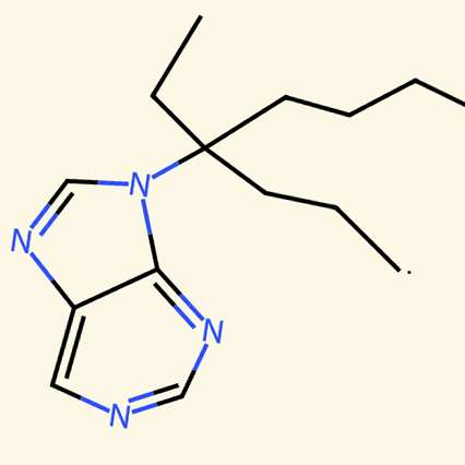 [CH2]CCC(CC)(CCCC)n1cnc2cncnc21